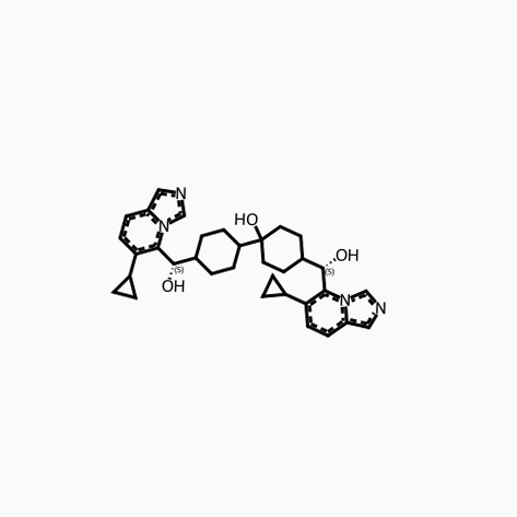 O[C@H](c1c(C2CC2)ccc2cncn12)C1CCC(C2(O)CCC([C@H](O)c3c(C4CC4)ccc4cncn34)CC2)CC1